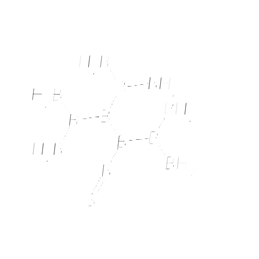 BB(B)B(B=S)B(B(B)B)B(B)B